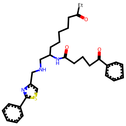 CCC(=O)CCCCCC(CNCc1csc(-c2ccccc2)n1)NC(=O)CCCC(=O)c1ccccc1